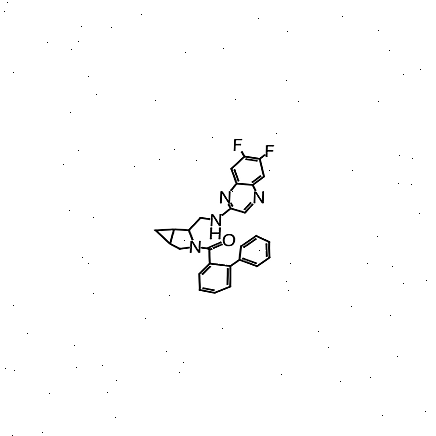 O=C(c1ccccc1-c1ccccc1)N1CC2CC2C1CNc1cnc2cc(F)c(F)cc2n1